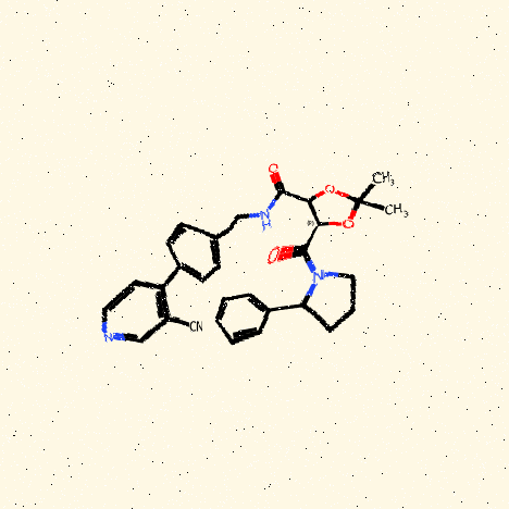 CC1(C)OC(C(=O)NCc2ccc(-c3ccncc3C#N)cc2)[C@H](C(=O)N2CCCC2c2ccccc2)O1